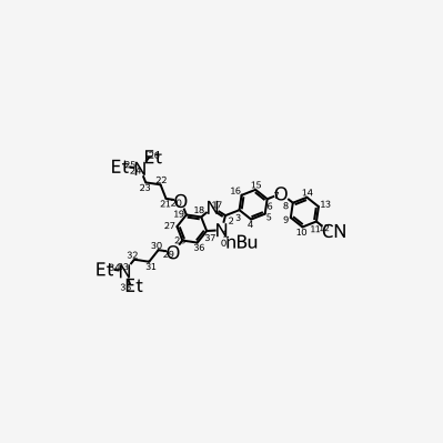 CCCCn1c(-c2ccc(Oc3ccc(C#N)cc3)cc2)nc2c(OCCCN(CC)CC)cc(OCCCN(CC)CC)cc21